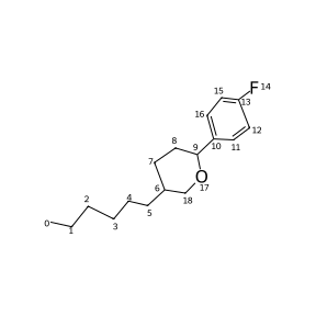 CCCCCCC1CCC(c2ccc(F)cc2)OC1